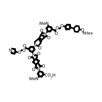 CCCCCCOC1CCC(c2ccc(OCOC(=O)c3cc(NC)cc(N4C(=O)C5CC(C4=O)C4C6CC(CN(c7cc(C(=O)OCOc8ccncc8)cc(-n8c(=O)c9cc%10c(=O)n(-c%11cc(NC)cc(C(=O)O)c%11)c(=O)c%10cc9c8=O)c7)C6=O)C54)c3)cc2)CC1